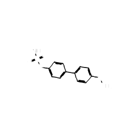 CSc1ccc(-c2ccc(OS(N)(=O)=O)cc2)cc1